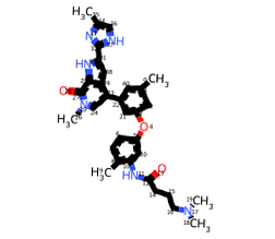 Cc1cc(Oc2ccc(C)c(NC(=O)CCCN(C)C)c2)cc(-c2cn(C)c(=O)c3[nH]c(-c4nc(C)c[nH]4)cc23)c1